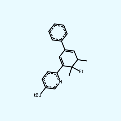 CCC1(C)C(c2ccc(C(C)(C)C)cn2)=CC(c2ccccc2)=CC1C